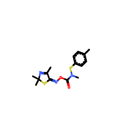 CC1=NC(C)(C)SC1=NOC(=O)N(C)Sc1ccc(C)cc1